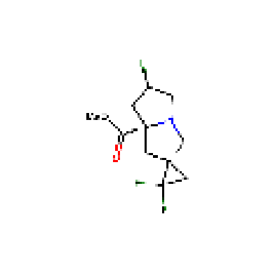 COC(=O)[C@]12C[C@@H](F)CN1C[C@@]1(CC1(F)F)C2